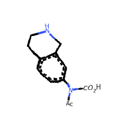 CC(=O)N(C(=O)O)c1ccc2c(c1)CNCC2